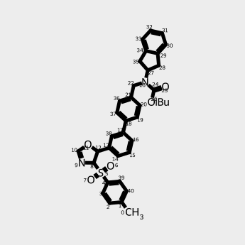 Cc1ccc(S(=O)(=O)C2N=COC2c2cccc(-c3ccc(CN(C(=O)OCC(C)C)C4Cc5ccccc5C4)cc3)c2)cc1